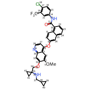 COc1cc2c(Oc3ccc4c(C(=O)Nc5ccc(Cl)c(C(F)(F)F)c5)cccc4c3)ccnc2cc1OCC1(NCC2CC2)CC1